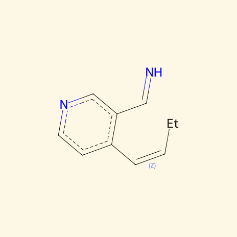 CC/C=C\c1ccncc1C=N